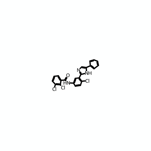 O=C(Nc1ccc(Cl)c(-c2ncc(-c3ccccc3)[nH]2)c1)c1cccc(Cl)c1Cl